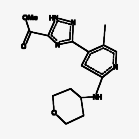 COC(=O)c1nc(-c2cc(NC3CCOCC3)ncc2C)n[nH]1